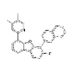 Cc1cnc(-c2cccc3c2oc2c(-c4ccc5ccccc5c4)c(F)ccc23)cc1C